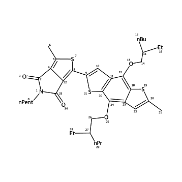 CCCCCN1C(=O)c2c(C)sc(-c3cc4c(OCC(CC)CCCC)c5sc(C)cc5c(OCC(CC)CCC)c4s3)c2C1=O